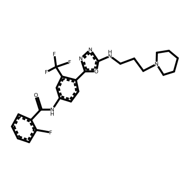 O=C(Nc1ccc(-c2nnc(NCCCN3CCCCC3)o2)c(C(F)(F)F)c1)c1ccccc1F